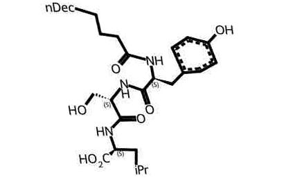 CCCCCCCCCCCCCC(=O)N[C@@H](Cc1ccc(O)cc1)C(=O)N[C@@H](CO)C(=O)N[C@@H](CC(C)C)C(=O)O